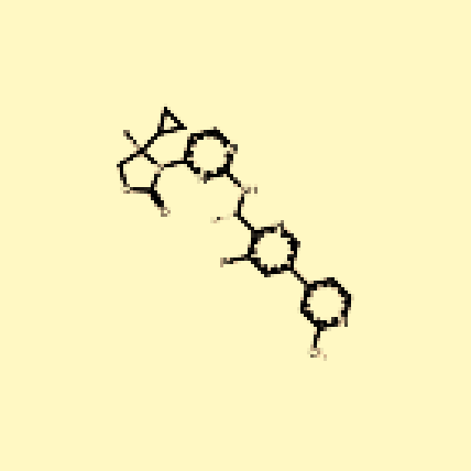 C[C@H](Nc1nccc(N2C(=O)OC[C@]2(C)C2CC2)n1)c1ncc(-c2ccnc(C(F)(F)F)c2)cc1F